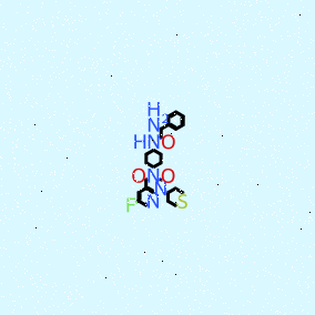 N[C@H](C(=O)NC1CCC(n2c(=O)c3cc(F)cnc3n(C3CCSCC3)c2=O)CC1)c1ccccc1